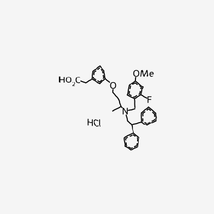 COc1ccc(CN(CC(c2ccccc2)c2ccccc2)C(C)CCOc2cccc(CC(=O)O)c2)c(F)c1.Cl